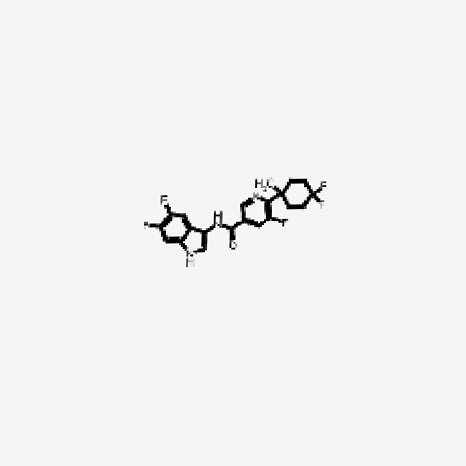 CC1(c2ncc(C(=O)Nc3c[nH]c4cc(F)c(F)cc34)cc2F)CCC(F)(F)CC1